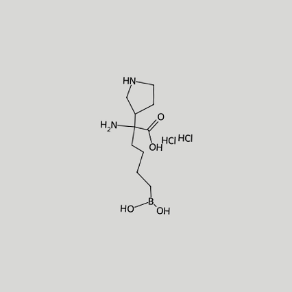 Cl.Cl.NC(CCCCB(O)O)(C(=O)O)C1CCNC1